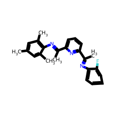 C/C(=N\c1ccccc1F)c1cccc(/C(C)=N/c2c(C)cc(C)cc2C)n1